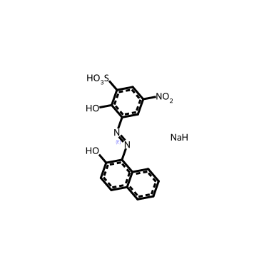 O=[N+]([O-])c1cc(/N=N/c2c(O)ccc3ccccc23)c(O)c(S(=O)(=O)O)c1.[NaH]